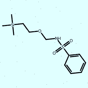 C[Si](C)(C)CCOCNS(=O)(=O)c1ccccc1